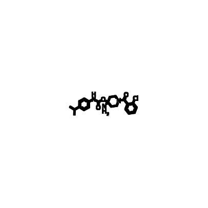 CC(C)c1ccc(NC(=O)OC2(N)CCN(C(=O)c3ccccc3Cl)CC2)cc1